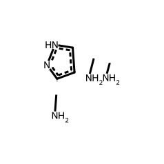 CN.CN.CN.[c]1cc[nH]n1